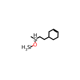 C[SiH](CCC1CC=CCC1)O[SiH3]